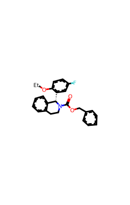 CCOc1ccc(F)cc1[C@H]1c2ccccc2CCN1C(=O)OCc1ccccc1